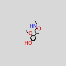 CCNC(=O)CC(C)c1ccc(O)cc1OCC